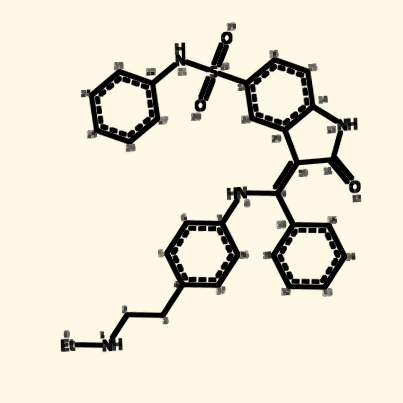 CCNCCc1ccc(NC(=C2C(=O)Nc3ccc(S(=O)(=O)Nc4ccccc4)cc32)c2ccccc2)cc1